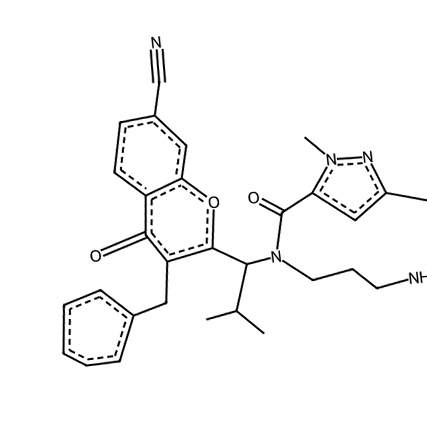 Cc1cc(C(=O)N(CCCN)C(c2oc3cc(C#N)ccc3c(=O)c2Cc2ccccc2)C(C)C)n(C)n1